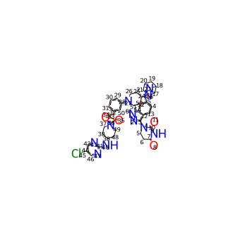 Cn1nc(N2CCC(=O)NC2=O)c2ccc(N3CC4CC(C3)N4CC3CCN(c4cccc(S(=O)(=O)N5CCC(Nc6ncc(Cl)cn6)CC5)c4)CC3)cc21